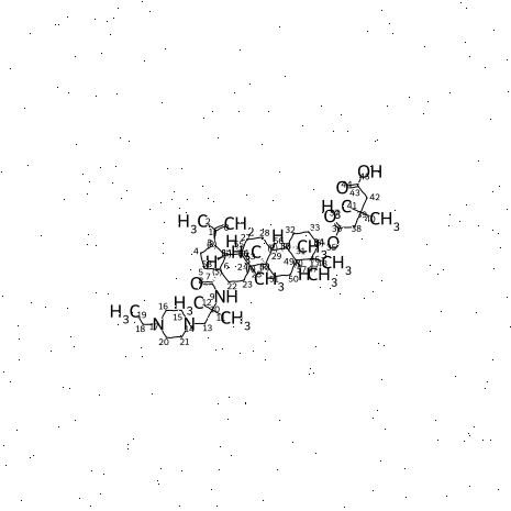 C=C(C)[C@@H]1CC[C@]2(C(=O)NC(C)(C)CN3CCN(CC)CC3)CC[C@]3(C)[C@H](CC[C@@H]4[C@@]5(C)CC[C@H](OC(=O)CC(C)(C)CC(=O)O)C(C)(C)[C@@H]5CC[C@]43C)[C@@H]12